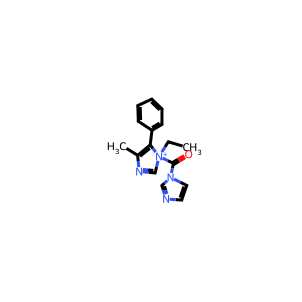 CC[N+]1(C(=O)n2ccnc2)C=NC(C)=C1c1ccccc1